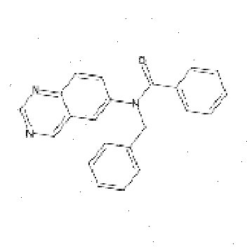 O=C(c1ccccc1)N(Cc1ccccc1)c1ccc2ncncc2c1